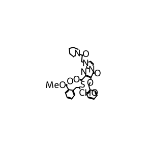 COC(=O)c1ccccc1CC(C=O)SC(=O)c1nc2n(CC(=O)N3CCCCC3)ccn2c(=O)c1OCc1ccccc1